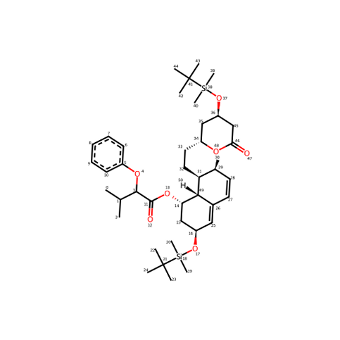 CC(C)C(Oc1ccccc1)C(=O)O[C@H]1C[C@H](O[Si](C)(C)C(C)(C)C)C=C2C=C[C@H](C)[C@H](CC[C@@H]3C[C@@H](O[Si](C)(C)C(C)(C)C)CC(=O)O3)[C@H]21